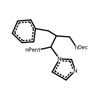 CCCCCCCCCCCC(Cc1ccccc1)C(CCCCC)n1ccnc1